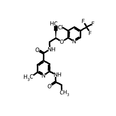 C#C[C@H](CNC(=O)c1cc(C)nc(NC(=O)CC)c1)Oc1ncc(C(F)(F)F)cc1Cl